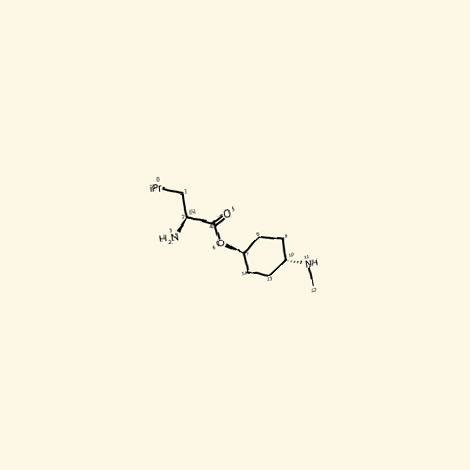 CC(C)C[C@H](N)C(=O)O[C@H]1CC[C@H](NI)CC1